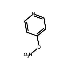 O=[N+]([O-])Oc1ccncc1